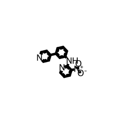 O=[N+]([O-])c1cccnc1Nc1cccc(-c2ccncc2)c1